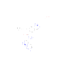 COc1cc2nn([C@H]3CCC[C@@H](O)C3)cc2cc1C(=O)Nc1cnn2cnccc12